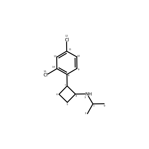 CC(C)NC1CCC1c1ccc(Cl)cc1Cl